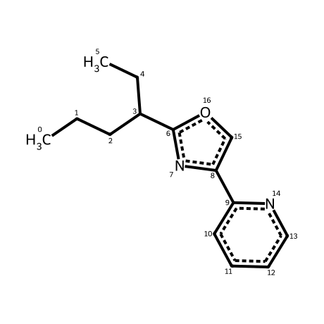 CCCC(CC)c1nc(-c2ccccn2)co1